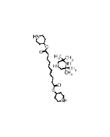 CC1(C)CNCC(C)(C)N1.O=C(CCCCCCCCC(=O)OC1CCNCC1)OC1CCNCC1